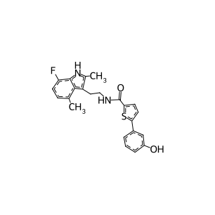 Cc1[nH]c2c(F)ccc(C)c2c1CCNC(=O)c1ccc(-c2cccc(O)c2)s1